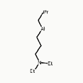 CCN(CC)CC[CH2][Al][CH2]C(C)C